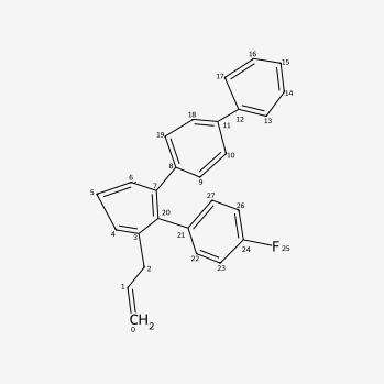 C=CCc1cc[c]c(-c2ccc(-c3ccccc3)cc2)c1-c1ccc(F)cc1